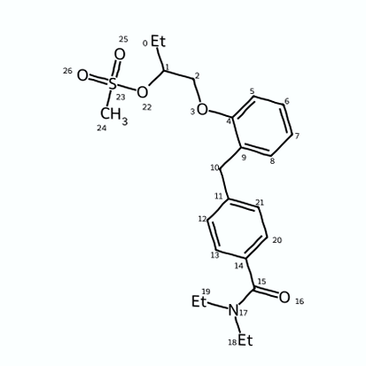 CCC(COc1ccccc1Cc1ccc(C(=O)N(CC)CC)cc1)OS(C)(=O)=O